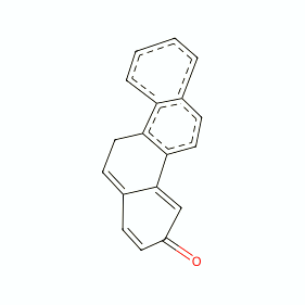 O=C1C=CC2=CCc3c(ccc4ccccc34)C2=C1